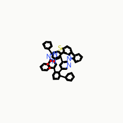 c1ccc(-c2nc(Cc3cc(-c4c(-c5ccccc5)cccc4-c4ccccc4)cnc3-n3c4ccccc4c4ccc5sc6ccccc6c5c43)nc(-c3ccccc3)n2)cc1